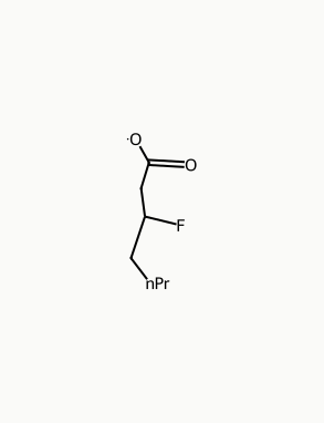 CCCCC(F)CC([O])=O